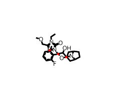 CCn1c(COC)nn(CC(O)CN2C3CCC2CC(OCc2c(C)cccc2F)C3)c1=O